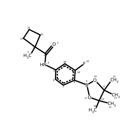 CC1(C(=O)Nc2ccc(B3OC(C)(C)C(C)(C)O3)c(F)c2)CCC1